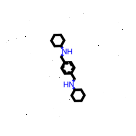 c1cc(CNC2CCCCC2)ccc1CNC1CCCCC1